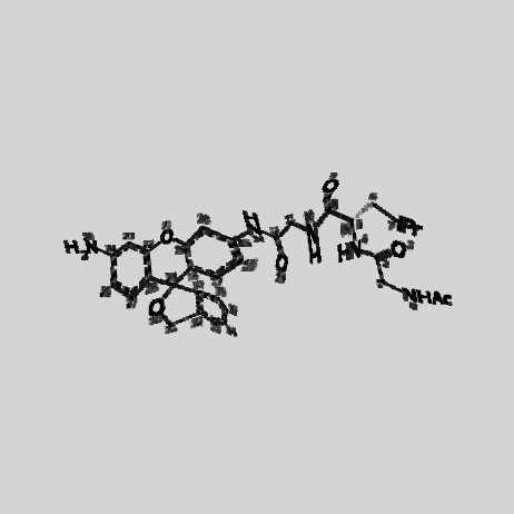 CC(=O)NCC(=O)N[C@@H](CC(C)C)C(=O)NCC(=O)Nc1ccc2c(c1)Oc1cc(N)ccc1C21OCc2ccccc21